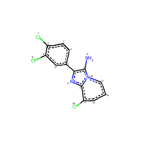 Nc1c(-c2ccc(Cl)c(Cl)c2)nc2c(Cl)cccn12